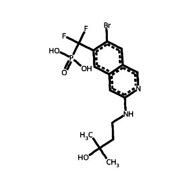 CC(C)(O)CCNc1cc2cc(C(F)(F)P(=O)(O)O)c(Br)cc2cn1